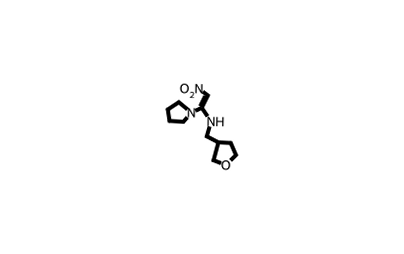 O=[N+]([O-])C=C(NCC1CCOC1)N1CCCC1